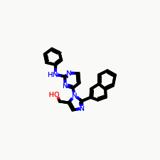 OCc1cnc(-c2ccc3ccccc3c2)n1-c1ccnc(Nc2c[c]ccc2)n1